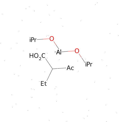 CC(C)[O][Al][O]C(C)C.CCC(C(C)=O)C(=O)O